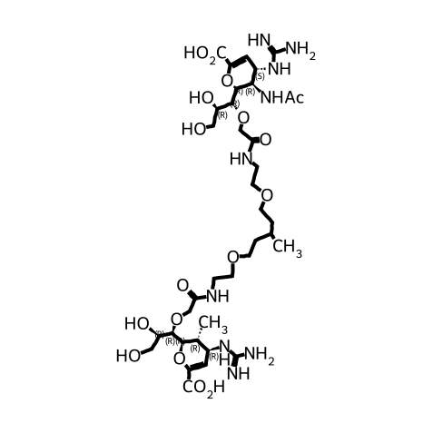 CC(=O)N[C@H]1[C@H]([C@H](OCC(=O)NCCOCCC(C)CCOCCNC(=O)CO[C@@H]([C@@H]2OC(C(=O)O)=C[C@H](NC(=N)N)[C@H]2C)[C@H](O)CO)[C@H](O)CO)OC(C(=O)O)=C[C@@H]1NC(=N)N